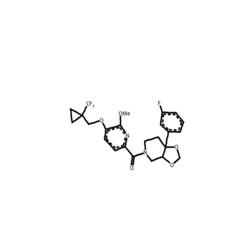 COc1nc(C(=O)N2CCC3(c4cccc(F)c4)OCOC3C2)ccc1OCC1(C(F)(F)F)CC1